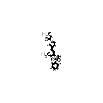 C=CC(=O)N1CC/C(=C\C=C(/C=C)NS(=O)(=O)c2ccccc2)C1